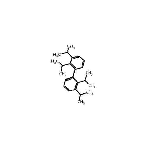 CC(C)c1[c]ccc(-c2cccc(C(C)C)c2C(C)C)c1C(C)C